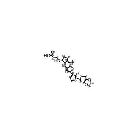 Cc1c(-c2ccc3c(c2)OCCO3)cccc1-c1nc2cc3c(c(F)c2o1)CC[C@H]3NCCC(=O)O